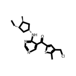 CC[C@H]1C[C@@H](Nc2ncncc2C(=O)c2cc(CCl)c(C)s2)C[C@@H]1C